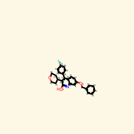 Oc1nc2cc(OCc3ccccc3)ccc2c(-c2ccc(F)cc2)c1C1CCOCC1